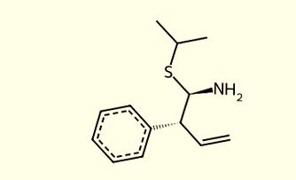 C=C[C@H](c1ccccc1)[C@H](N)SC(C)C